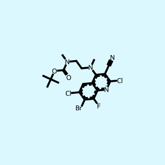 CN(CCN(C)c1c(C#N)c(Cl)nc2c(F)c(Br)c(Cl)cc12)C(=O)OC(C)(C)C